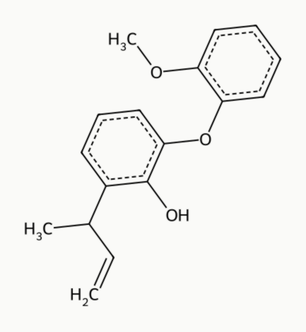 C=CC(C)c1cccc(Oc2ccccc2OC)c1O